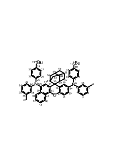 Cc1cccc(N(c2ccc(C(C)(C)C)cc2)c2ccc3c(c2)C2(c4cc(N(c5ccc(C(C)(C)C)cc5)c5cccc(C)c5)c5ccccc5c4O3)C3CC4CC(C3)CC2C4)c1